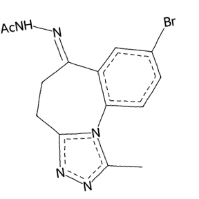 CC(=O)NN=C1CCc2nnc(C)n2-c2ccc(Br)cc21